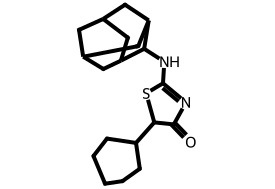 O=C1N=C(NC2C3CC4CC(C3)CC2C4)SC1C1CCCCC1